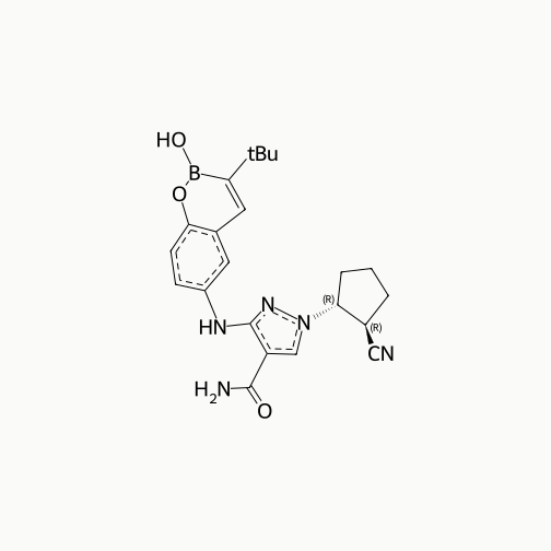 CC(C)(C)C1=Cc2cc(Nc3nn([C@@H]4CCC[C@H]4C#N)cc3C(N)=O)ccc2OB1O